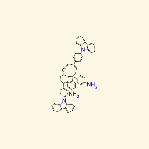 Nc1ccc(C2(c3ccc(N)cc3)C/C=C(c3ccc(-n4c5ccccc5c5ccccc54)cc3)\C=C/CC3C=CC(c4ccc(-n5c6ccccc6c6ccccc65)cc4)=CC32)cc1